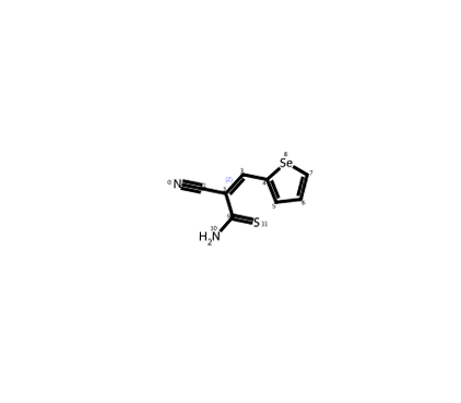 N#C/C(=C/c1ccc[se]1)C(N)=S